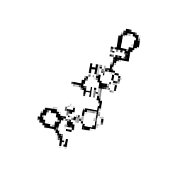 CC(C)C[C@H](NC(=O)c1cc2ccccc2s1)C(=O)NCC1CN(S(=O)(=O)c2ccccc2C#N)CCO1